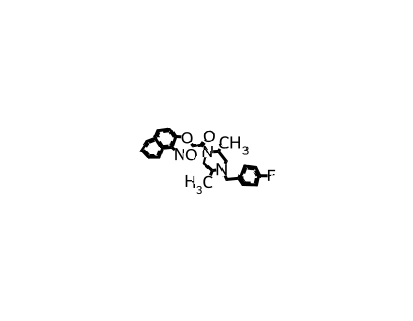 CC1CN(C(=O)COc2ccc3ccccc3c2N=O)C(C)CN1Cc1ccc(F)cc1